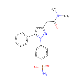 CN(C)C(=O)Cc1cc(-c2ccccc2)n(-c2ccc(S(N)(=O)=O)cc2)n1